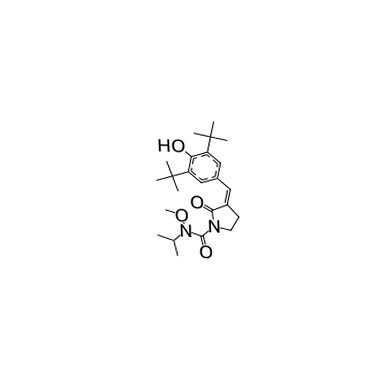 CON(C(=O)N1CCC(=Cc2cc(C(C)(C)C)c(O)c(C(C)(C)C)c2)C1=O)C(C)C